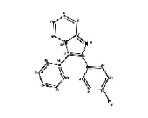 Fc1ccc(-c2nc3ccccn3c2-c2[c]cccc2)cc1